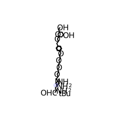 CC(C)(C)NC(C=O)C/C(N)=C/N(N)CCOCCOCCOCCOc1ccc(CCOC2CC(O)CC(CO)O2)cc1